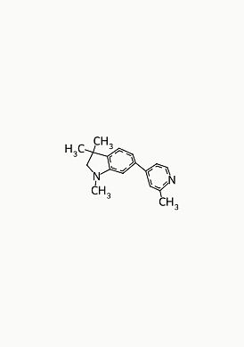 Cc1cc(-c2ccc3c(c2)N(C)CC3(C)C)ccn1